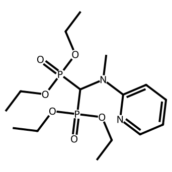 CCOP(=O)(OCC)C(N(C)c1ccccn1)P(=O)(OCC)OCC